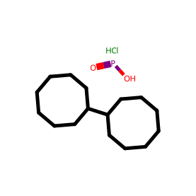 C1CCCC(C2CCCCCCC2)CCC1.Cl.O=PO